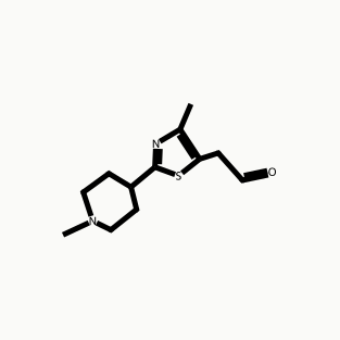 Cc1nc(C2CCN(C)CC2)sc1CC=O